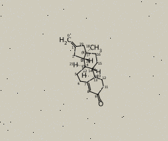 C=C1C[C@H]2[C@@H]3CCC4=CC(=O)CC[C@@H]4[C@H]3CC[C@]2(C)C1